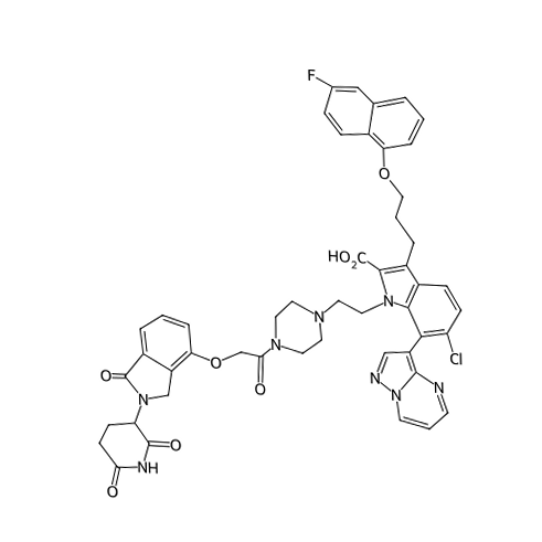 O=C1CCC(N2Cc3c(OCC(=O)N4CCN(CCn5c(C(=O)O)c(CCCOc6cccc7cc(F)ccc67)c6ccc(Cl)c(-c7cnn8cccnc78)c65)CC4)cccc3C2=O)C(=O)N1